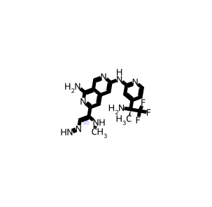 CN/C(=C\N=N)c1cc2cc(Nc3cc([C@](C)(N)C(F)(F)F)ccn3)ncc2c(N)n1